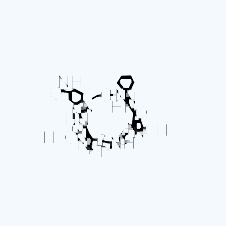 CCn1nc(C)c2c1C(=O)Nc1nc3cc(C(N)=O)ccc3n1CCCCn1c(nc3ccccc31)NC(=O)c1cc(C)nn1CCNCC2